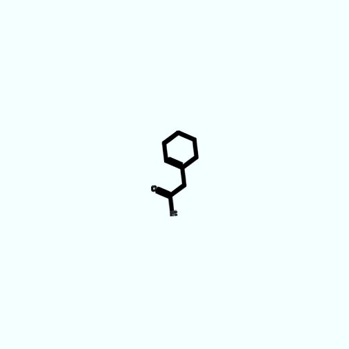 CCC(=O)CC1=CCCCC1